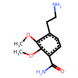 COc1c(CCN)ccc(C(N)=O)c1OC